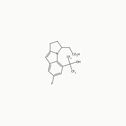 O=C(O)CC1CCc2cc3cc(F)cc(C(O)(C(F)(F)F)C(F)(F)F)c3n21